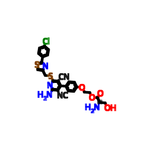 [C-]#[N+]c1c(N)nc(SCc2csc(-c3ccc(Cl)cc3)n2)c(C#N)c1-c1ccc(OCCOC(=O)[C@@H](N)CO)cc1